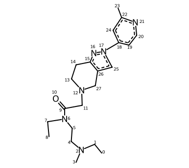 CCN(C)CCN(CC)C(=O)CN1CCc2nn(-c3ccnc(C)c3)cc2C1